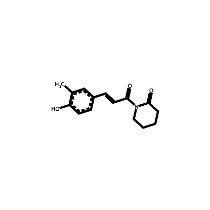 Cc1cc(/C=C/C(=O)N2CCCCC2=O)ccc1O